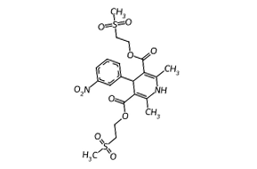 CC1=C(C(=O)OCCS(C)(=O)=O)C(c2cccc([N+](=O)[O-])c2)C(C(=O)OCCS(C)(=O)=O)=C(C)N1